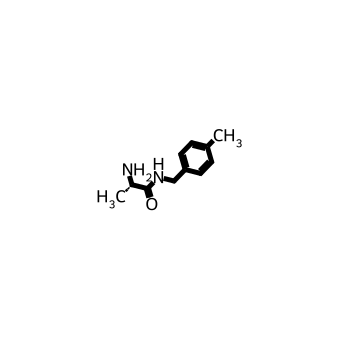 Cc1ccc(CNC(=O)[C@H](C)N)cc1